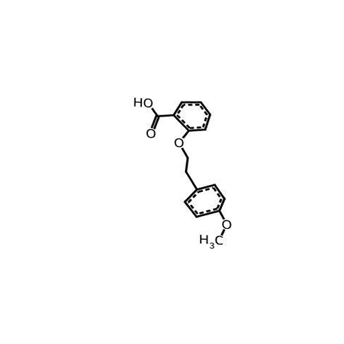 COc1ccc(CCOc2ccccc2C(=O)O)cc1